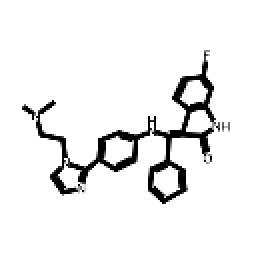 CN(C)CCn1ccnc1-c1ccc(NC(=C2C(=O)Nc3cc(F)ccc32)c2ccccc2)cc1